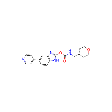 O=C(NCC1CCOCC1)Oc1nc2cc(-c3ccncc3)ccc2[nH]1